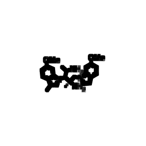 COc1ccc2ccn(C[C@@](C)(N)C(C(C)N)n3cc(C)c4ccc(OC)cc43)c2c1